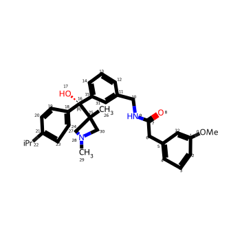 COc1cccc(CC(=O)NCc2cccc([C@](O)(c3ccc(C(C)C)cc3)C3(C)CN(C)C3)c2)c1